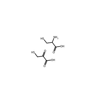 NC(CS)C(=O)O.O=C(O)C(=O)CS